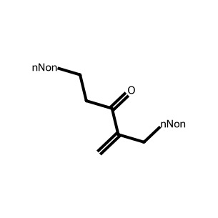 C=C(CCCCCCCCCC)C(=O)CCCCCCCCCCC